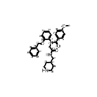 COc1ccc(C(=O)N(CC(=O)NCC2CCNCC2)c2ccccc2OCc2ccccc2)cc1